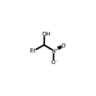 CCC(O)[N+](=O)[O-]